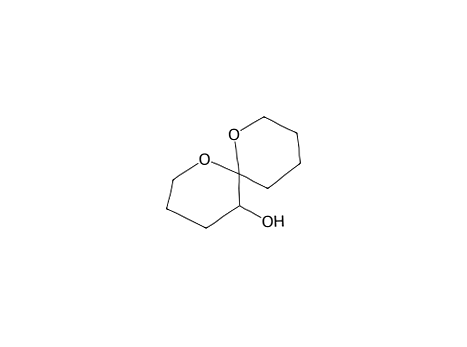 OC1CCCOC12CCCCO2